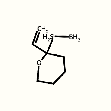 B[SiH2]C1(C=C)CCCCO1